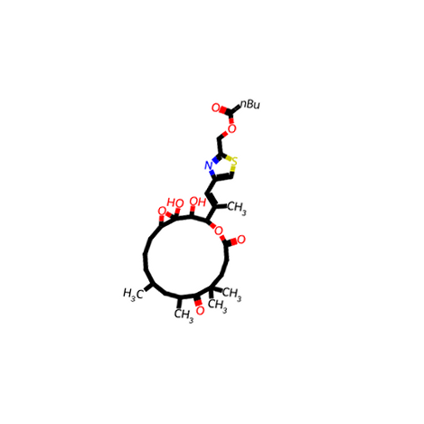 CCCCC(=O)OCc1nc(C=C(C)C2OC(=O)CCC(C)(C)C(=O)C(C)CC(C)CCCC3OC3(O)C2O)cs1